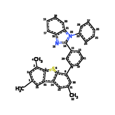 Cc1cc(C)c2sc3c(-c4cccc(-c5nc6ccccc6n5-c5ccccc5)c4)cc(C)cc3c2c1